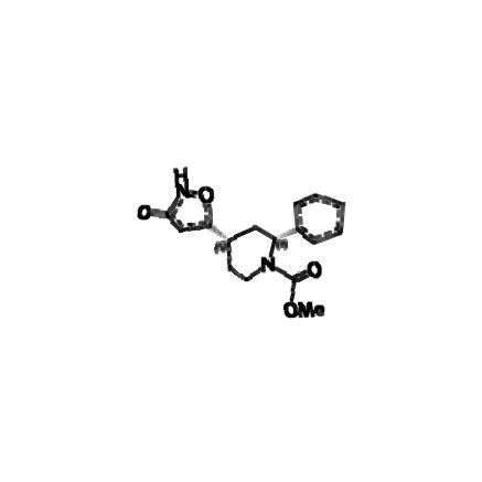 COC(=O)N1CC[C@H](c2cc(=O)[nH]o2)C[C@@H]1c1ccccc1